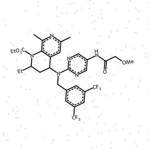 CCOC(=O)N1c2c(cc(C)nc2C)C(N(Cc2cc(C(F)(F)F)cc(C(F)(F)F)c2)c2ncc(NC(=O)COC)cn2)CC1CC